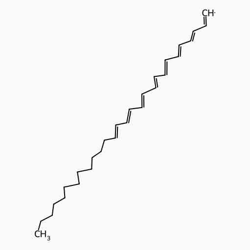 [CH]=CC=CC=CC=CC=CC=CC=CC=CCCCCCCCCCCCC